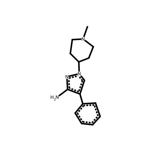 CN1CCC(n2cc(-c3ccccc3)c(N)n2)CC1